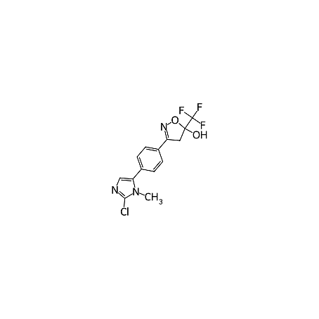 Cn1c(-c2ccc(C3=NOC(O)(C(F)(F)F)C3)cc2)cnc1Cl